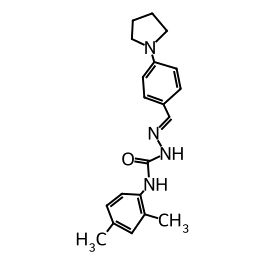 Cc1ccc(NC(=O)NN=Cc2ccc(N3CCCC3)cc2)c(C)c1